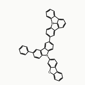 c1ccc(-c2ccc3c(c2)c2cc(-c4ccc5c(c4)c4cccc6c7ccccc7n5c64)ccc2n3-c2ccc3c(c2)oc2ccccc23)cc1